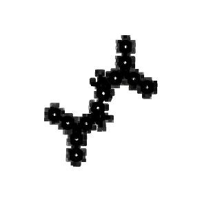 CC1c2cc(-c3ccc4c(c3)C(C)C(C)N4c3ccc(N(c4ccc(-c5ccccc5)cc4)c4ccc(-c5ccccc5)cc4)cc3)ccc2N(c2ccc(N(c3ccc(-c4ccccc4)cc3)c3ccc(-c4ccccc4)cc3)cc2)C1C